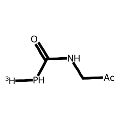 [3H]PC(=O)NCC(C)=O